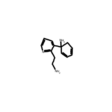 NCCc1ncccc1C1(N)C=CC=CC1